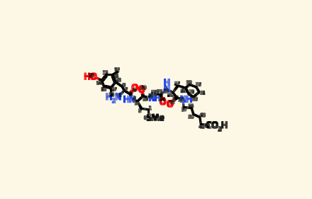 CSCC[C@@H](NC(=O)[C@@H](N)Cc1c(C)cc(O)cc1C)C(=O)NCC(=O)N[C@@H](CC1CCCCC1)C(=O)NCCCCCC(=O)O